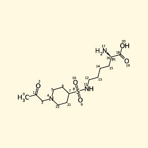 CC(=O)CN1CCC(S(=O)(=O)NCCCC[C@@H](N)C(=O)O)CC1